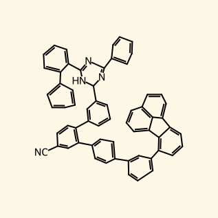 N#Cc1ccc(-c2cccc(C3N=C(c4ccccc4)N=C(c4ccccc4-c4ccccc4)N3)c2)c(-c2ccc(-c3cccc(-c4cccc5c4-c4cccc6cccc-5c46)c3)cc2)c1